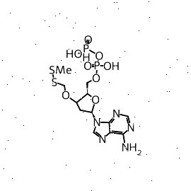 CSSCOC1C[C@H](n2cnc3c(N)ncnc32)O[C@@H]1COP(=O)(O)O[PH](=O)O